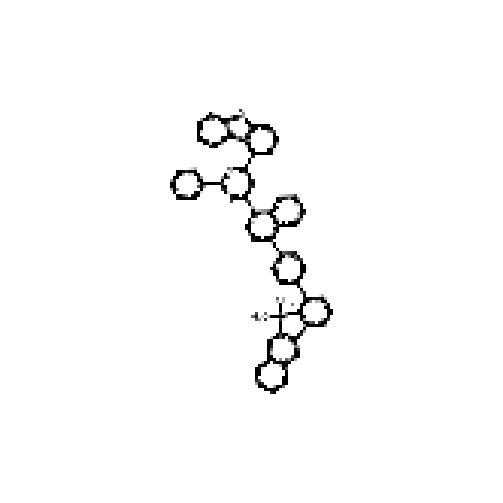 CC1(C)c2cc3ccccc3cc2-c2cccc(-c3ccc(-c4ccc(-c5cc(-c6cccc7oc8ccccc8c67)nc(-c6ccccc6)n5)c5ccccc45)cc3)c21